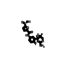 C[C@]1(c2cc(NC(=O)c3ccc([N+](=O)O)o3)ccc2F)N=C(N)OCC1(F)F